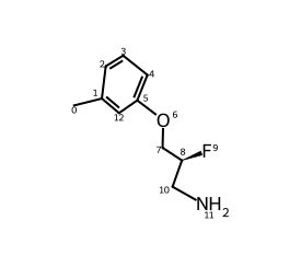 Cc1cccc(OC[C@@H](F)CN)c1